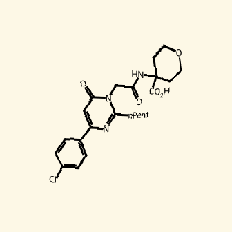 CCCCCc1nc(-c2ccc(Cl)cc2)cc(=O)n1CC(=O)NC1(C(=O)O)CCOCC1